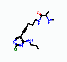 CCCNc1nc(Cl)ncc1C#CCCCNC(=O)C(C)NC